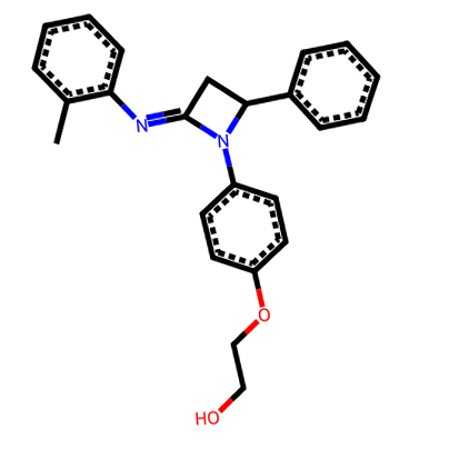 Cc1ccccc1/N=C1\CC(c2ccccc2)N1c1ccc(OCCO)cc1